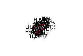 Bc1c(B)c(-c2c(B)c(B)c(B)c3c(B)c(B)c4c(B)c(B)c(B)c(B)c4c23)c(B)c(B)c1-c1c2c(B)c(B)c(B)c(B)c2c(-c2c(B)c(B)c(B)c3oc4c(B)c(B)c(B)c(B)c4c23)c2c(B)c(B)c(B)c(B)c12